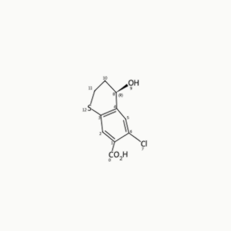 O=C(O)c1cc2c(cc1Cl)[C@H](O)CCS2